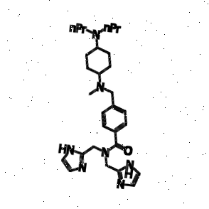 CCCN(CCC)C1CCC(N(C)Cc2ccc(C(=O)N(Cc3ncc[nH]3)Cc3ncc[nH]3)cc2)CC1